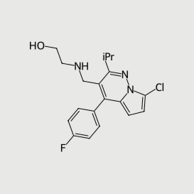 CC(C)c1nn2c(Cl)ccc2c(-c2ccc(F)cc2)c1CNCCO